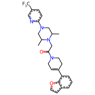 CC1CN(c2ccc(C(F)(F)F)cn2)CC(C)N1CC(=O)N1CC=C(c2cccc3ccoc23)CC1